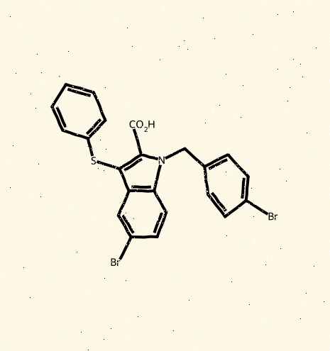 O=C(O)c1c(Sc2ccccc2)c2cc(Br)ccc2n1Cc1ccc(Br)cc1